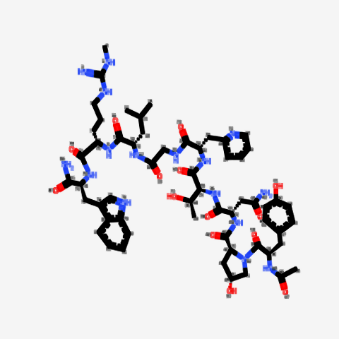 CNC(=N)NCCC[C@H](NC(=O)[C@H](CC(C)C)NC(=O)CNC(=O)[C@H](Cc1ccccn1)NC(=O)[C@@H](NC(=O)[C@H](CC(N)=O)NC(=O)[C@@H]1C[C@@H](O)CN1C(=O)[C@@H](Cc1ccc(O)cc1)NC(C)=O)[C@@H](C)O)C(=O)N[C@@H](Cc1c[nH]c2ccccc12)C(N)=O